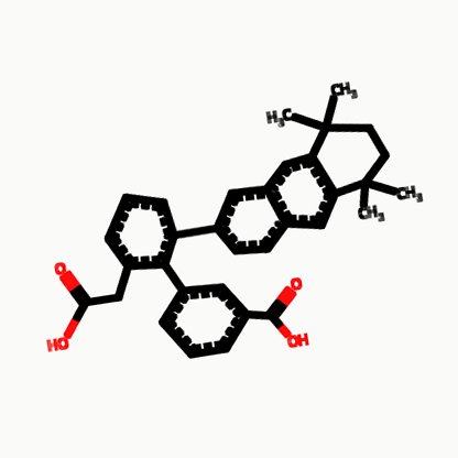 CC1(C)CCC(C)(C)c2cc3cc(-c4cccc(CC(=O)O)c4-c4cccc(C(=O)O)c4)ccc3cc21